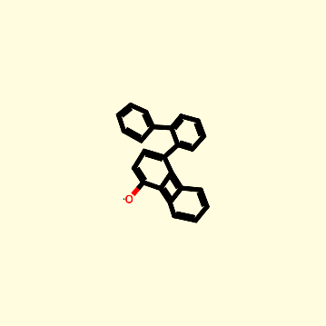 [O]c1ccc(-c2ccccc2-c2ccccc2)c2c1=c1ccccc1=2